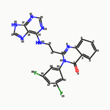 O=c1c2ccccc2nc(CCNc2ncnc3[nH]cnc23)n1-c1cc(F)cc(F)c1